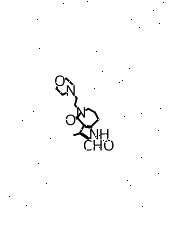 Cc1c(C=O)[nH]c2c1C(=O)N(CCN1CCOCC1)CCC2